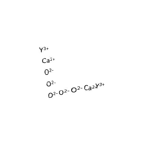 [Ca+2].[Ca+2].[O-2].[O-2].[O-2].[O-2].[O-2].[Y+3].[Y+3]